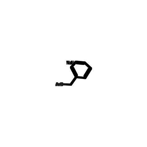 CC(=O)OCc1ccccc1.[NaH]